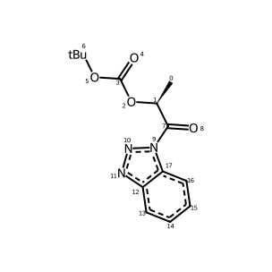 C[C@H](OC(=O)OC(C)(C)C)C(=O)n1nnc2ccccc21